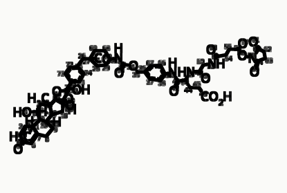 C[C@]12C=CC(=O)C=C1CC[C@@H]1[C@@H]2[C@@H](O)C[C@@]2(C)[C@H]1C[C@H]1OC(c3ccc(CC45CCC(NC(=O)OCc6ccc(NC(=O)[C@H](CCC(=O)O)NC(=O)CNC(=O)CCC(=O)ON7C(=O)CCC7=O)cc6)(CC4)CC5)cc3)O[C@]12C(=O)CO